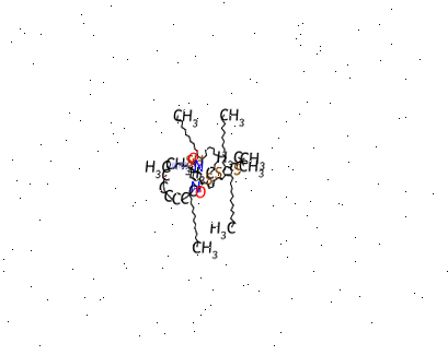 CCCCCCCCCCCCc1c2cc(C(C)(C)C)sc2c(CCCCCCCCCCCC)c2cc(-c3ccc(C4=c5cc6c7cc5N(CC(CCCCCCCCCCCC)CCCCCCCCCCC(C)(C)/C=C/C=C(\S)C=7C(=O)N6CC(CCCCCCCCCC)CCCCCCCCCCCC)C4=O)s3)sc12